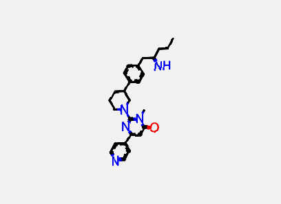 CCCC(=N)Cc1ccc(C2CCCN(c3nc(-c4ccncc4)cc(=O)n3C)C2)cc1